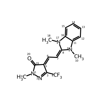 CN1N=C(C(F)(F)F)/C(=C\C=C2N(C)c3ccccc3N2C)C1=O